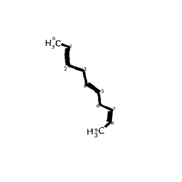 CC=CCC=CC/C=C\C